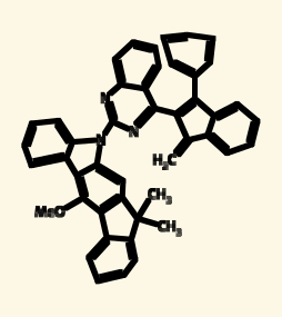 C=C1C(c2nc(-n3c4ccccc4c4c(OC)c5c(cc43)C(C)(C)c3ccccc3-5)nc3ccccc23)=C(c2ccccc2)c2ccccc21